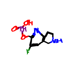 O=[PH](O)Oc1nc2c(cc1F)CNCC2